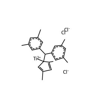 CC1=C[C]([Ti+3])(C(c2cc(C)cc(C)c2)c2cc(C)cc(C)c2)C(C)=C1.[Cl-].[Cl-].[Cl-]